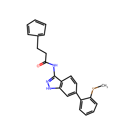 CSc1ccccc1-c1ccc2c(NC(=O)CCc3ccccc3)n[nH]c2c1